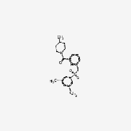 Cc1cc(C)cc(S(=O)(=O)Cc2cccc(C(=O)N3CCC(C)CC3)n2)c1